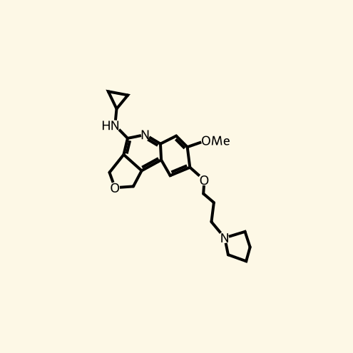 COc1cc2nc(NC3CC3)c3c(c2cc1OCCCN1CCCC1)COC3